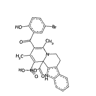 CC1=C(C(=O)O)C2(C(=O)O)c3[nH]c4ccccc4c3CCN2C(C)=C1C(=O)c1cc(Br)ccc1O